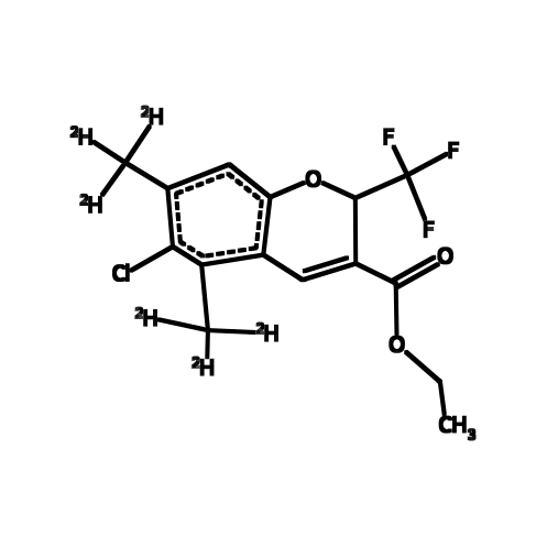 [2H]C([2H])([2H])c1cc2c(c(C([2H])([2H])[2H])c1Cl)C=C(C(=O)OCC)C(C(F)(F)F)O2